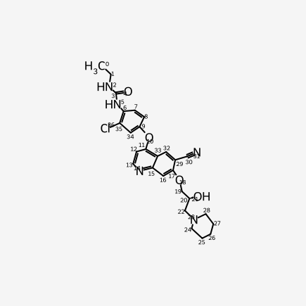 CCNC(=O)Nc1ccc(Oc2ccnc3cc(OC[C@@H](O)CN4CCCCC4)c(C#N)cc23)cc1Cl